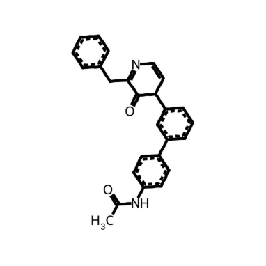 CC(=O)Nc1ccc(-c2cccc(C3C=CN=C(Cc4ccccc4)C3=O)c2)cc1